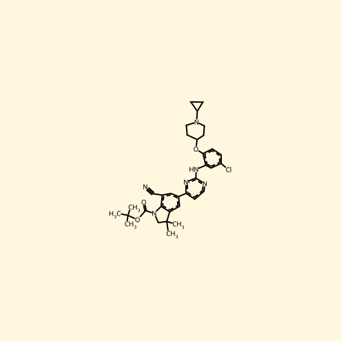 CC(C)(C)OC(=O)N1CC(C)(C)c2cc(-c3ccnc(Nc4cc(Cl)ccc4OC4CCN(C5CC5)CC4)n3)cc(C#N)c21